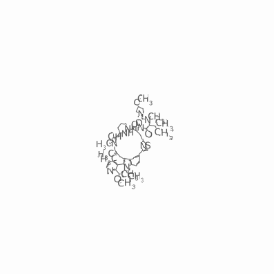 CCn1c(-c2cccnc2[C@H](C)OC)c2c3cc(ccc31)-c1csc(n1)C[C@H](NC(=O)C(C(C)C)N(C)C(=O)N1CC(OC)C1)C(=O)N1CCC[C@H](N1)C(=O)N(C)CC(C)(C)C2